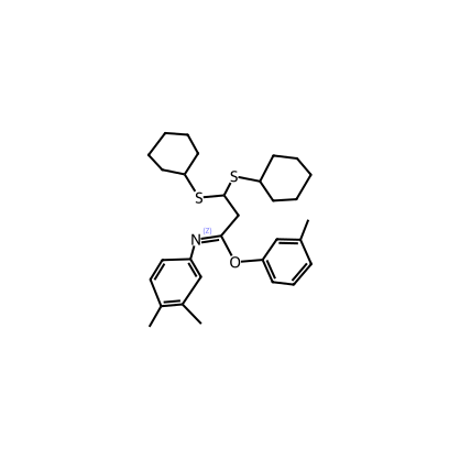 Cc1cccc(O/C(CC(SC2CCCCC2)SC2CCCCC2)=N\c2ccc(C)c(C)c2)c1